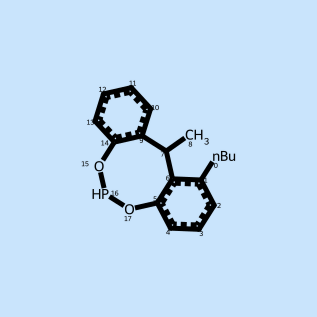 CCCCc1cccc2c1C(C)c1ccccc1OPO2